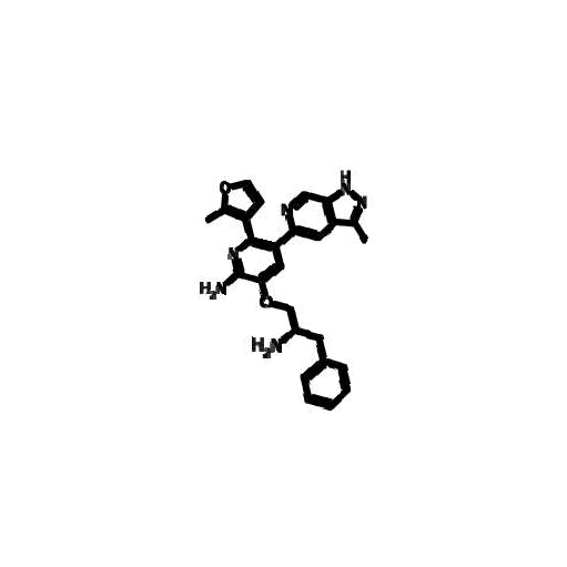 Cc1occc1-c1nc(N)c(OC[C@H](N)Cc2ccccc2)cc1-c1cc2c(C)n[nH]c2cn1